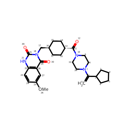 C=C(C1CCCC1)N1CCN(C(=O)[C@H]2CC[C@H](Cn3c(=O)[nH]c4ccc(OC)cc4c3=O)CC2)CC1